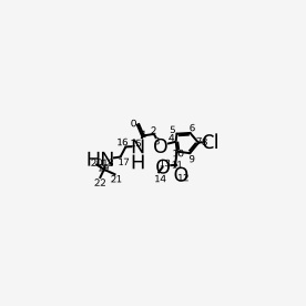 C=C(COc1ccc(Cl)cc1C(=O)OC)NCCNC(C)(C)C